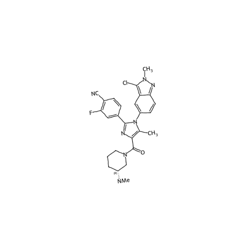 CN[C@@H]1CCCN(C(=O)c2nc(-c3ccc(C#N)c(F)c3)n(-c3ccc4nn(C)c(Cl)c4c3)c2C)C1